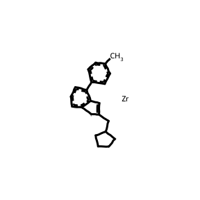 Cc1ccc(-c2cccc3c2C=C(CC2CCCC2)[CH]3)cc1.[Zr]